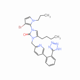 CCCCc1cn(-c2c(Br)ccn2CCC)c(=O)n1Cc1ccc(-c2ccccc2-c2nnn[nH]2)cn1